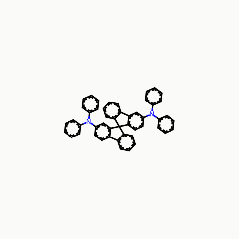 c1ccc(N(c2ccccc2)c2ccc3c(c2)-c2ccccc2C32c3ccccc3-c3ccc(N(c4ccccc4)c4ccccc4)cc32)cc1